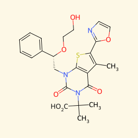 Cc1c(-c2ncco2)sc2c1c(=O)n(C(C)(C)C(=O)O)c(=O)n2C[C@@H](OCCO)c1ccccc1